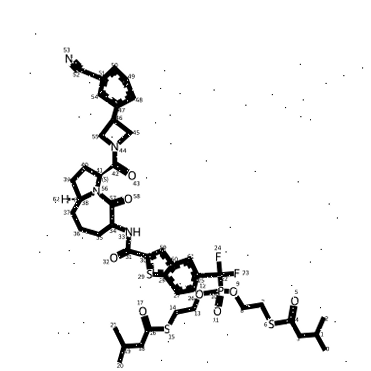 CC(C)CC(=O)SCCOP(=O)(OCCSC(=O)CC(C)C)C(F)(F)c1ccc2sc(C(=O)NC3CCC[C@H]4CC[C@@H](C(=O)N5CC(c6cccc(C#N)c6)C5)N4C3=O)cc2c1